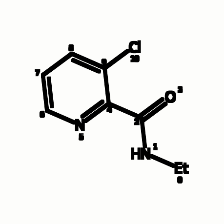 CCNC(=O)c1ncccc1Cl